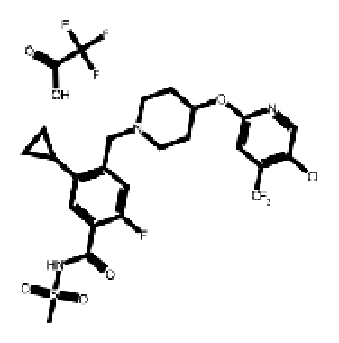 CS(=O)(=O)NC(=O)c1cc(C2CC2)c(CN2CCC(Oc3cc(C(F)(F)F)c(Cl)cn3)CC2)cc1F.O=C(O)C(F)(F)F